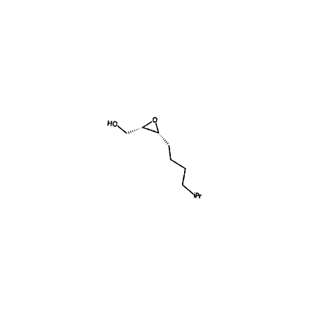 CC(C)CCCC[C@H]1O[C@H]1CO